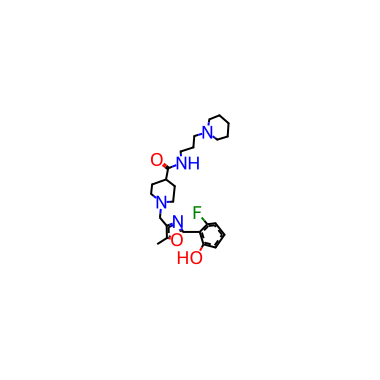 Cc1oc(-c2c(O)cccc2F)nc1CN1CCC(C(=O)NCCCN2CCCCC2)CC1